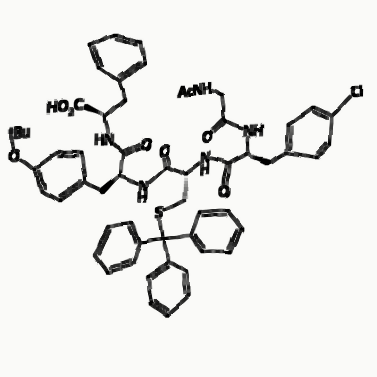 CC(=O)NCC(=O)N[C@@H](Cc1ccc(Cl)cc1)C(=O)N[C@H](CSC(c1ccccc1)(c1ccccc1)c1ccccc1)C(=O)N[C@@H](Cc1ccc(OC(C)(C)C)cc1)C(=O)N[C@H](Cc1ccccc1)C(=O)O